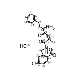 C[C@H](NC(=O)[C@H](N)CCc1ccccc1)C(=O)NCc1cc(Cl)ccc1[N+](=O)[O-].Cl